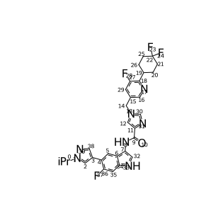 CC(C)n1cc(-c2cc3c(NC(=O)c4cn(Cc5cnc(C6CCC(F)(F)CC6)c(F)c5)cn4)c[nH]c3cc2F)cn1